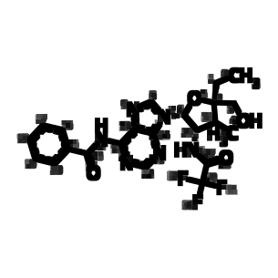 CC[C@]1(CO)O[C@@H](n2cnc3c(NC(=O)c4ccccc4)ncnc32)[C@@H](NC(=O)C(F)(F)F)C1C